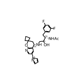 CC(=O)N[C@@H](Cc1cc(F)cc(F)c1)[C@@H](O)CN[C@H]1CC2(CCC2)Oc2ncc(-n3cccn3)cc21